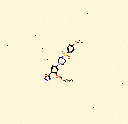 CC(C)Oc1ccc(S(=O)(=O)N2CCN(c3ccc(-c4cnco4)c(OCOC=O)c3)CC2)cc1